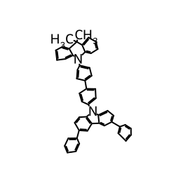 CC1(C)c2ccccc2N(c2ccc(-c3ccc(-n4c5ccc(-c6ccccc6)cc5c5cc(-c6ccccc6)ccc54)cc3)cc2)c2ccccc21